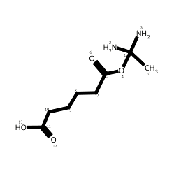 CC(N)(N)OC(=O)CCCCC(=O)O